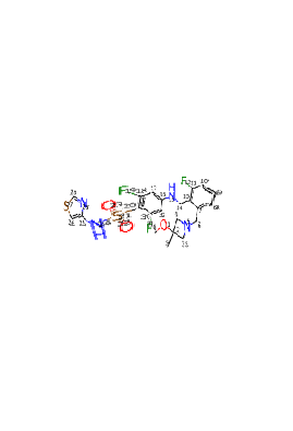 COC1(C)CN(Cc2cccc(F)c2CNc2cc(F)c(S(=O)(=O)Nc3cscn3)c(F)c2)C1